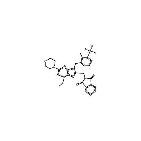 CCc1cc(N2CCOCC2)nn2c(Cc3cccc(C(F)(F)F)c3C)c(CN3C(=O)c4ccccc4C3=O)nc12